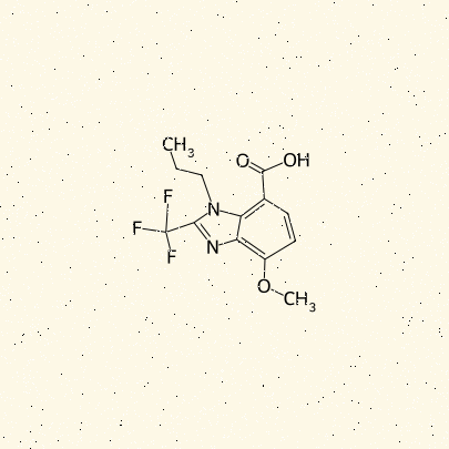 CCCn1c(C(F)(F)F)nc2c(OC)ccc(C(=O)O)c21